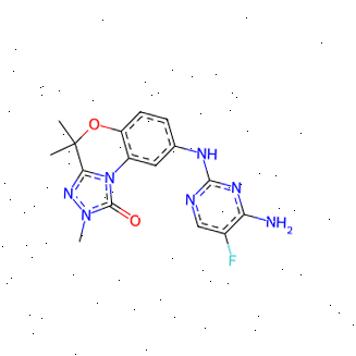 Cn1nc2n(c1=O)-c1cc(Nc3ncc(F)c(N)n3)ccc1OC2(C)C